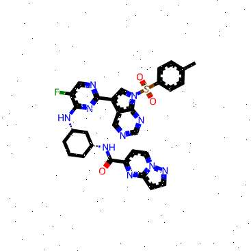 Cc1ccc(S(=O)(=O)n2cc(-c3ncc(F)c(N[C@H]4CCC[C@@H](NC(=O)c5ccn6nccc6n5)C4)n3)c3cncnc32)cc1